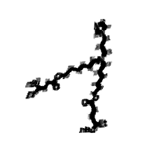 CCCCC(CC)CCC(=O)OCCCCCCN(CCCCCCOC(=O)CCC(CC)CCCC)CCCn1ccnc1